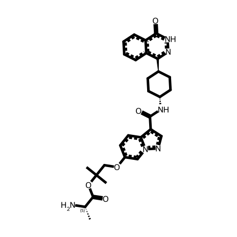 C[C@H](N)C(=O)OC(C)(C)COc1ccc2c(C(=O)N[C@H]3CC[C@H](c4n[nH]c(=O)c5ccccc54)CC3)cnn2c1